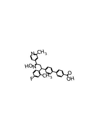 Cc1cc(/C(CC(c2ccc(-c3ccc(C(=O)O)cc3)cc2)c2ccc(F)cc2C)=N\O)ccn1